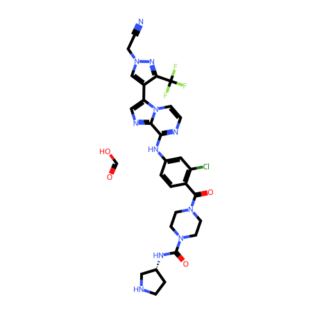 N#CCn1cc(-c2cnc3c(Nc4ccc(C(=O)N5CCN(C(=O)N[C@@H]6CCNC6)CC5)c(Cl)c4)nccn23)c(C(F)(F)F)n1.O=CO